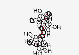 O=C(c1ccc(-c2ccc(C(=O)N([C@@H]3[C@@H](OCc4ccccc4)O[C@H](CO)[C@@H](O)[C@@H]3O)[C@@H]3[C@@H](OCc4ccccc4)O[C@H](CO)[C@@H](O)[C@@H]3O)cc2)cc1)N([C@@H]1[C@@H](OCc2ccccc2)O[C@H](CO)[C@@H](O)[C@@H]1O)[C@@H]1[C@@H](OCc2ccccc2)O[C@H](CO)[C@@H](O)[C@@H]1O